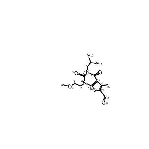 COCCn1c(=O)n(CC(F)F)c(=O)c2c(C)c(C=O)sc21